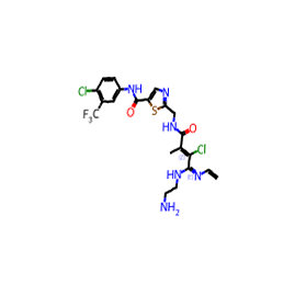 C=C/N=C(NCCN)\C(Cl)=C(/C)C(=O)NCc1ncc(C(=O)Nc2ccc(Cl)c(C(F)(F)F)c2)s1